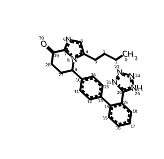 CCCCc1cnc2n1C(c1ccc(-c3ccccc3-c3nnn[nH]3)cc1)CCC2=O